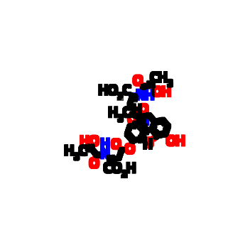 C[C@H](O)C(=O)N[C@@H](CC(=O)OC1=CC[C@@]2(OC(=O)C[C@H](NC(=O)[C@H](C)O)C(=O)O)[C@H]3Cc4ccc(O)c5c4[C@@]2(CCN3C)[C@H]1O5)C(=O)O